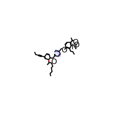 C=C(/C=C\C(=C/C)COc1ccc(C(C)=O)c(N=O)c1CCC)C(OC(CCCCC)C(C)C)C1C=CC(C#CCC)=CC1